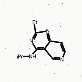 CCc1nc(NC(C)C)c2cnccc2n1